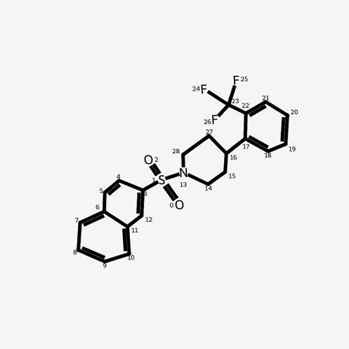 O=S(=O)(c1ccc2ccccc2c1)N1CCC(c2ccccc2C(F)(F)F)CC1